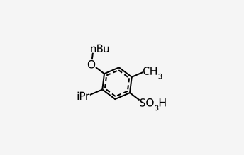 CCCCOc1cc(C)c(S(=O)(=O)O)cc1C(C)C